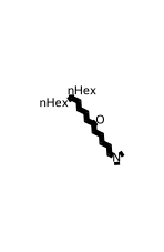 CCCCCCC(CCCCCC)CCCCC(=O)CCCCCN(C)C